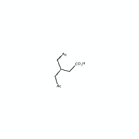 CC(=O)CC(CC(C)=O)CC(=O)O